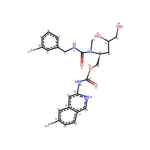 CN(C(=O)NCc1cccc(F)c1)[C@H](COC(=O)Nc1cc2cc(F)ccc2cn1)CC(O)CO